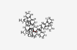 CC(C)(C)c1ccc(-c2ccccc2N(c2ccc(-c3ccccc3-c3cccc4c3C(C)(C)c3ccccc3-4)cc2)c2ccc3c(c2)C2(CCCC2)c2ccccc2-3)cc1